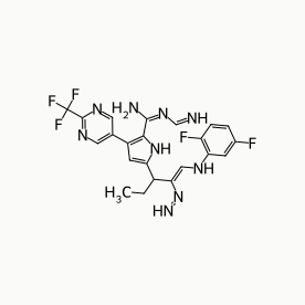 CCC(/C(=C/Nc1cc(F)ccc1F)N=N)c1cc(-c2cnc(C(F)(F)F)nc2)c(/C(N)=N\C=N)[nH]1